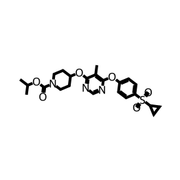 Cc1c(Oc2ccc(S(=O)(=O)C3CC3)cc2)ncnc1OC1CCN(C(=O)OC(C)C)CC1